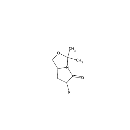 CC1(C)OCC2CC(F)C(=O)N21